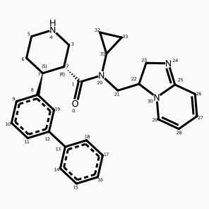 O=C([C@H]1CNCC[C@@H]1c1cccc(-c2ccccc2)c1)N(CC1CN=C2C=CC=CN21)C1CC1